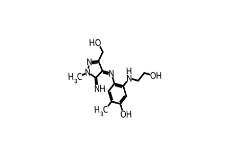 Cc1cc(N=C2C(=N)N(C)N=C2CO)c(NCCO)cc1O